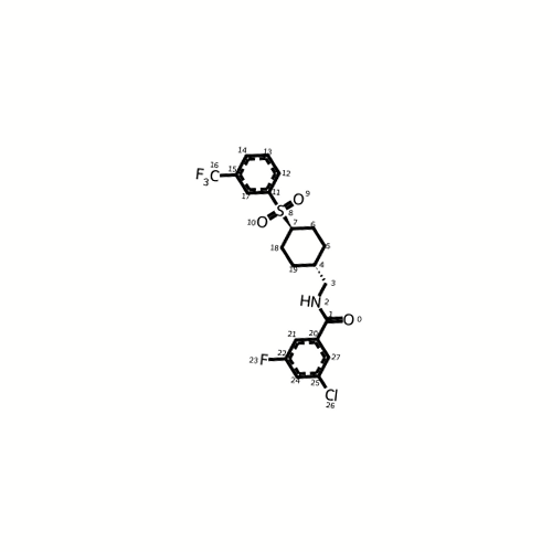 O=C(NC[C@H]1CC[C@H](S(=O)(=O)c2cccc(C(F)(F)F)c2)CC1)c1cc(F)cc(Cl)c1